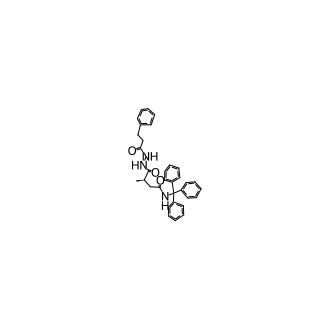 C[C@H](CC(=O)NC(c1ccccc1)(c1ccccc1)c1ccccc1)C(=O)NNC(=O)CCc1ccccc1